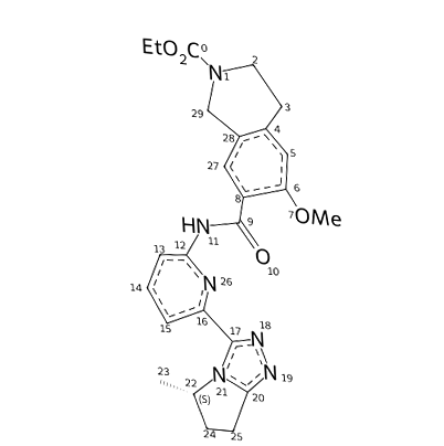 CCOC(=O)N1CCc2cc(OC)c(C(=O)Nc3cccc(-c4nnc5n4[C@@H](C)CC5)n3)cc2C1